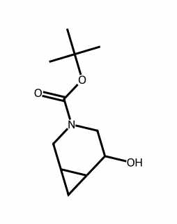 CC(C)(C)OC(=O)N1CC(O)C2CC2C1